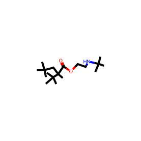 CC(C)(C)CC(C)(C(=O)OCCNC(C)(C)C)C(C)(C)C